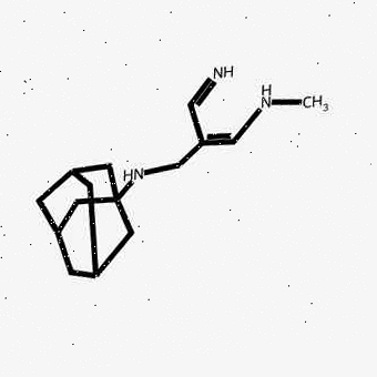 CN/C=C(\C=N)CNC12CC3CC(CC(C3)C1)C2